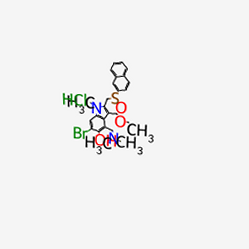 CCOC(=O)c1c(CSc2ccc3ccccc3c2)n(C)c2cc(Br)c(O)c(CN(C)C)c12.Cl